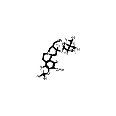 [2H]c1c2c(c([2H])c(OC)c1OC([2H])([2H])[2H])C1CC([2H])(OC(=O)[C@@]([2H])(N)C([2H])(C([2H])([2H])[2H])C([2H])([2H])[2H])C(CC(C)C)CN1CC2